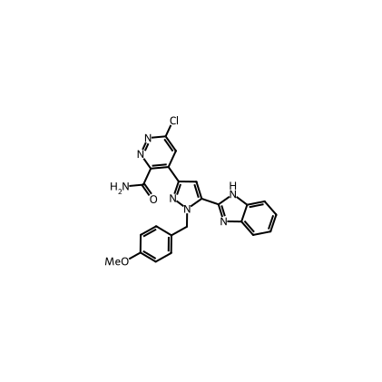 COc1ccc(Cn2nc(-c3cc(Cl)nnc3C(N)=O)cc2-c2nc3ccccc3[nH]2)cc1